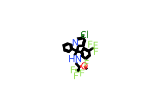 COC(CNCC(c1ccccc1)(c1cc(F)cc(C(F)(F)F)c1)c1ccc(Cl)cn1)C(F)(F)F